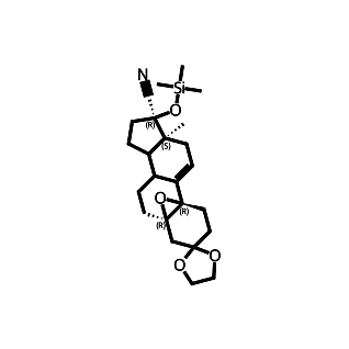 C[C@]12CC=C3C(CC[C@@]45CC6(CC[C@@]34O5)OCCO6)C1CC[C@@]2(C#N)O[Si](C)(C)C